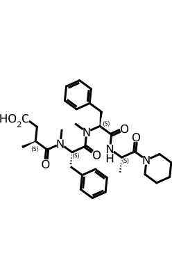 C[C@H](NC(=O)[C@H](Cc1ccccc1)N(C)C(=O)[C@H](Cc1ccccc1)N(C)C(=O)[C@@H](C)CC(=O)O)C(=O)N1CCCCC1